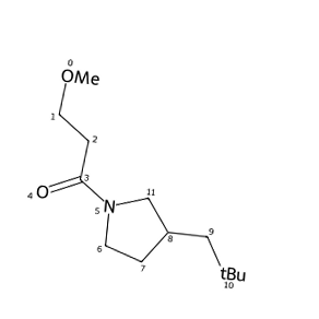 COCCC(=O)N1CCC(CC(C)(C)C)C1